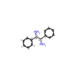 N[C@H](c1ccccc1)[C@H](N)c1ccccc1